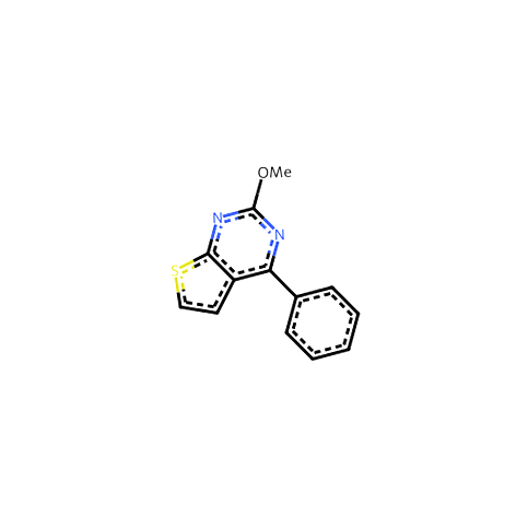 COc1nc(-c2ccccc2)c2ccsc2n1